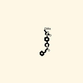 COCC1CN(c2ccc(C3CCN(C(=O)C=Cc4ccccc4)CC3)cc2)C(=O)O1